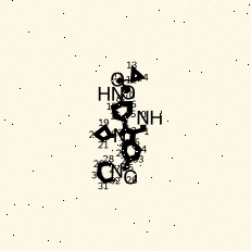 N=Cc1c(-c2ccc(NS(=O)(=O)C3CC3)cc2)n(C2CCC2)c2cc(C(=O)N3CCCCC3)ccc12